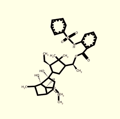 CC[C@@H]1C([C@@]2(O)C[C@H](OC)C3CC(C)[C@]2(O)[C@H]3OC)CC([C@H](C)OC(=O)c2ccccc2NS(=O)(=O)c2ccccc2)C1(C)C